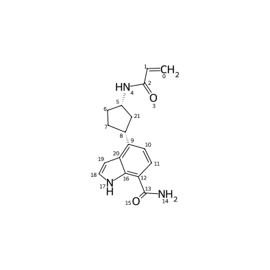 C=CC(=O)N[C@H]1CC[C@@H](c2ccc(C(N)=O)c3[nH]ccc23)C1